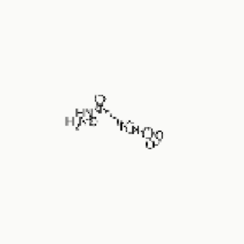 NC(=O)Nc1cn(CCCCN2CCN(c3ccc4c(c3)OCCO4)CC2)c2ccccc12